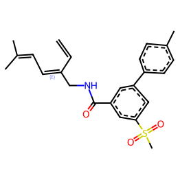 C=C/C(=C\C=C(C)C)CNC(=O)c1cc(-c2ccc(C)cc2)cc(S(C)(=O)=O)c1